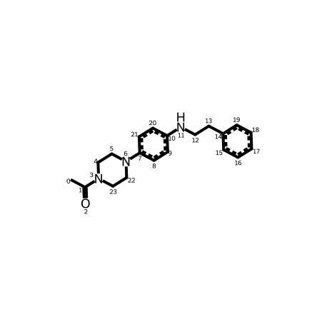 CC(=O)N1CCN(c2ccc(NCCc3ccccc3)cc2)CC1